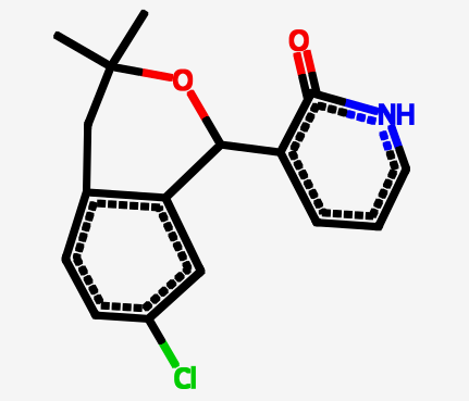 CC1(C)Cc2ccc(Cl)cc2C(c2ccc[nH]c2=O)O1